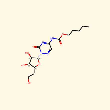 CCCCCOC(=O)Nc1cnn([C@@H]2O[C@H](CCO)[C@@H](O)[C@H]2O)c(=O)n1